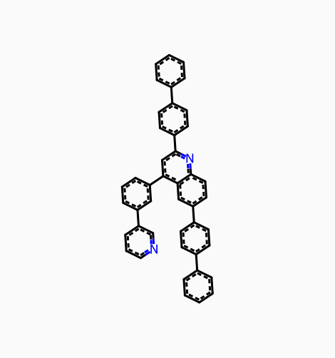 c1ccc(-c2ccc(-c3ccc4nc(-c5ccc(-c6ccccc6)cc5)cc(-c5cccc(-c6cccnc6)c5)c4c3)cc2)cc1